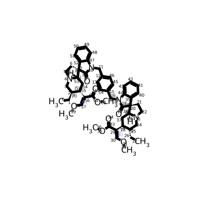 CC[C@H]1CN2CC[C@]3(C(=O)N(Cc4ccc(CN5C(=O)[C@]6(CCN7C[C@H](CC)[C@@H](/C(=C\OC)C(=O)OC)C[C@H]76)c6ccccc65)cc4)c4ccccc43)[C@@H]2C[C@@H]1/C(=C\OC)C(=O)OC